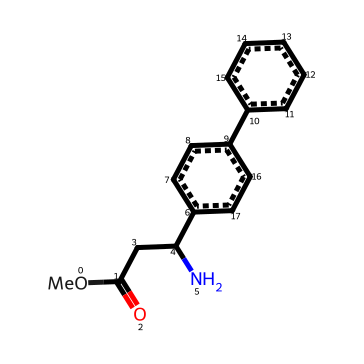 COC(=O)CC(N)c1ccc(-c2ccccc2)cc1